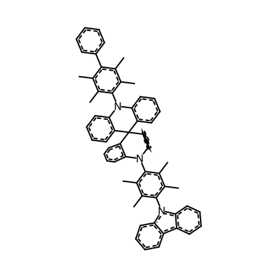 Cc1c(C)c(N2c3ccccc3C3(c4ccccc42)c2ccccc2N(c2c(C)c(C)c(-n4c5ccccc5c5ccccc54)c(C)c2C)c2ccccc23)c(C)c(C)c1-c1ccccc1